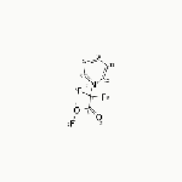 O=C(OF)C(F)(F)[n+]1ccccc1